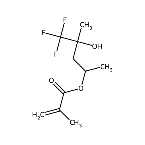 C=C(C)C(=O)OC(C)CC(C)(O)C(F)(F)F